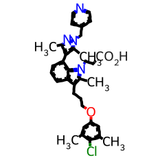 Cc1cc(OCCCc2c(C)n(CCC(=O)O)c3c(-c4c(C)nn(Cc5ccncc5)c4C)cccc23)cc(C)c1Cl